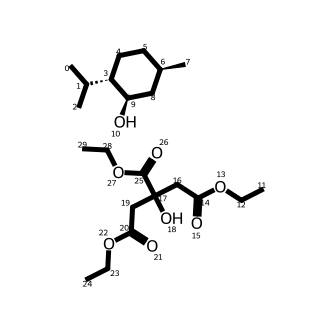 CC(C)[C@@H]1CC[C@@H](C)C[C@H]1O.CCOC(=O)CC(O)(CC(=O)OCC)C(=O)OCC